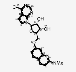 CNc1ccc2ccc(OC[C@H]3O[C@@H](n4ccc5c(Cl)ncnc54)[C@H](O)[C@@H]3O)cc2n1